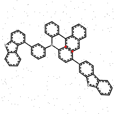 c1cc(-c2cccc3sc4ccccc4c23)cc(N(c2ccc(-c3ccc4c(c3)oc3ccccc34)cc2)c2ccccc2-c2cccc3ccccc23)c1